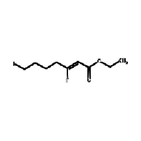 CCOC(=O)C=C(F)CCCCI